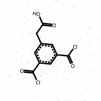 O=C(O)Cc1cc(C(=O)Cl)cc(C(=O)Cl)c1